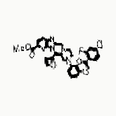 COC(=O)c1ccc2nc3n(c2n1)C(C1CCO1)C1CN(c2cccc4c2O[C@@H](c2ccc(Cl)cc2F)CO4)CCN1C3